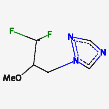 COC(Cn1cncn1)[C](F)F